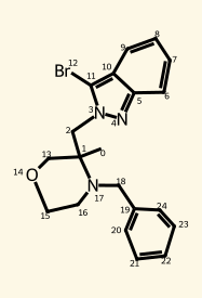 CC1(Cn2nc3ccccc3c2Br)COCCN1Cc1ccccc1